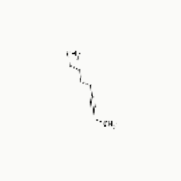 [CH2]CC#CCCCC[CH2]